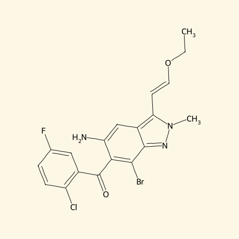 CCOC=Cc1c2cc(N)c(C(=O)c3cc(F)ccc3Cl)c(Br)c2nn1C